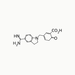 N=C(N)c1ccc2c(c1)CCN2CC1=CCC(=O)C(C(=O)O)=C1